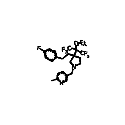 CCOC(C(F)(F)F)(C(F)(F)F)C1(CCc2ccc(F)cc2)CCN(Cc2ccc(C)nc2)C1